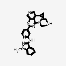 Cn1nc(Nc2cc(-c3nc(N4CCNCC4)c4c(C5CC5)cncc4n3)ccn2)c2ccccc21